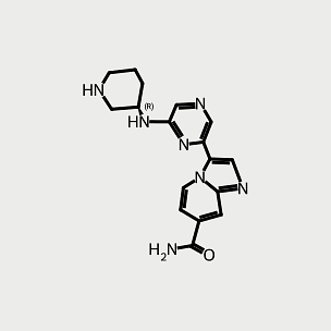 NC(=O)c1ccn2c(-c3cncc(N[C@@H]4CCCNC4)n3)cnc2c1